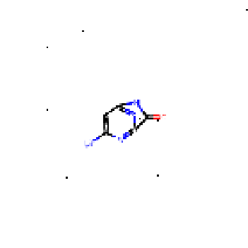 Nc1cc2nc(n1)C(=O)N2